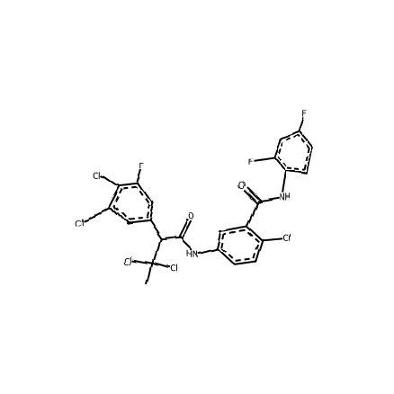 CC(Cl)(Cl)C(C(=O)Nc1ccc(Cl)c(C(=O)Nc2ccc(F)cc2F)c1)c1cc(F)c(Cl)c(Cl)c1